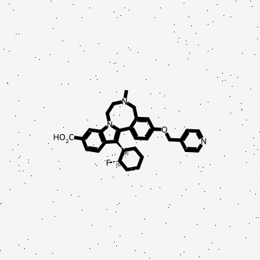 CN1CCn2c(c([C@H]3CCCC[C@@H]3F)c3ccc(C(=O)O)cc32)-c2ccc(OCc3ccncc3)cc2C1